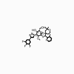 CO[C@@H]1[C@@H](n2cc(-c3cc(F)c(F)c(F)c3)nn2)[C@@H](O)[C@@H](CO)O[C@H]1SC(c1ncccc1C)[C@]1(O)CCOC(C)(C)C1